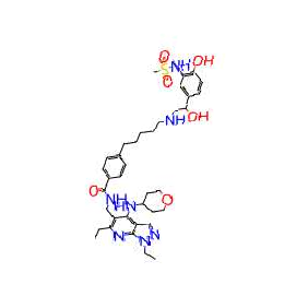 CCc1nc2c(cnn2CC)c(NC2CCOCC2)c1CNC(=O)c1ccc(CCCCCNCC(O)c2ccc(O)c(NS(C)(=O)=O)c2)cc1